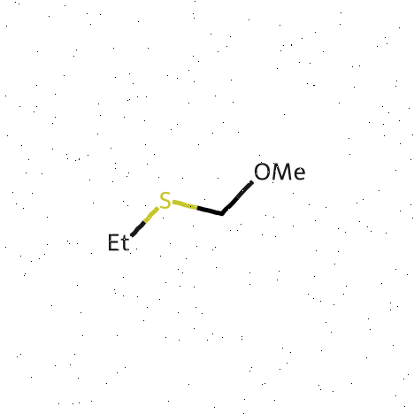 CCSCOC